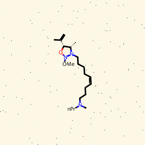 C=C(C)[C@H]1ON(OC)N(CCCC/C=C\CCCN(C)CCC)[C@H]1C